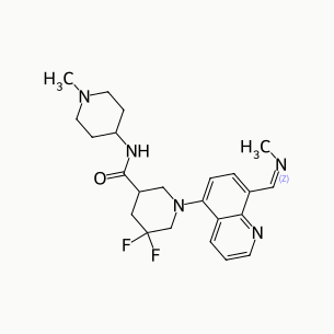 C/N=C\c1ccc(N2CC(C(=O)NC3CCN(C)CC3)CC(F)(F)C2)c2cccnc12